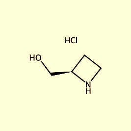 Cl.OC[C@H]1CCN1